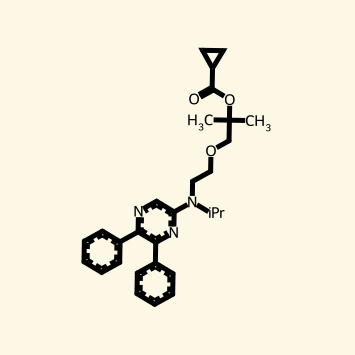 CC(C)N(CCOCC(C)(C)OC(=O)C1CC1)c1cnc(-c2ccccc2)c(-c2ccccc2)n1